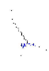 CCCC=CCCC=CCC(N)N